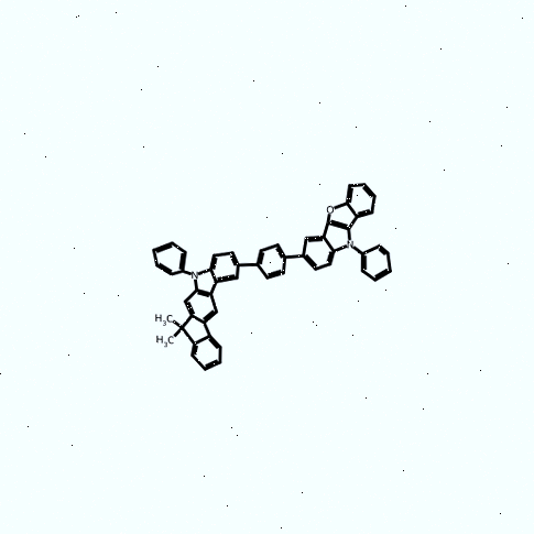 CC1(C)c2ccccc2-c2cc3c4cc(-c5ccc(-c6ccc7c(c6)c6oc8ccccc8c6n7-c6ccccc6)cc5)ccc4n(-c4ccccc4)c3cc21